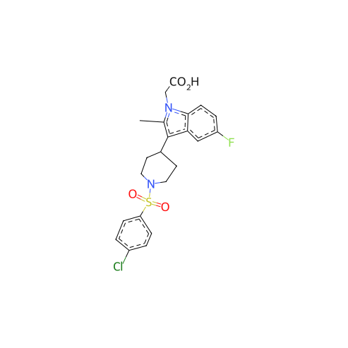 Cc1c(C2CCN(S(=O)(=O)c3ccc(Cl)cc3)CC2)c2cc(F)ccc2n1CC(=O)O